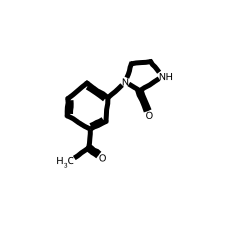 CC(=O)c1cccc(N2CCNC2=O)c1